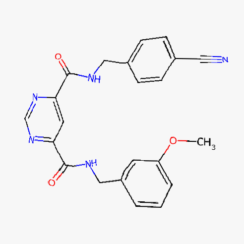 COc1cccc(CNC(=O)c2cc(C(=O)NCc3ccc(C#N)cc3)ncn2)c1